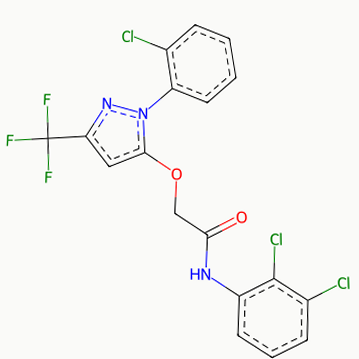 O=C(COc1cc(C(F)(F)F)nn1-c1ccccc1Cl)Nc1cccc(Cl)c1Cl